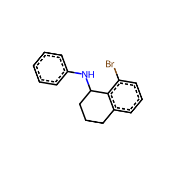 Brc1cccc2c1C(Nc1ccccc1)CCC2